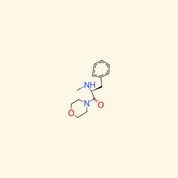 CN[C@@H](Cc1ccccc1)C(=O)N1CCOCC1